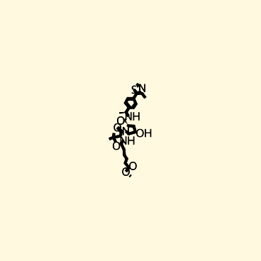 COC(=O)CCCCC(=O)NC(C(=O)N1C[C@H](O)C[C@H]1C(=O)N[C@@H](C)c1ccc(-c2scnc2C)cc1)C(C)(C)C